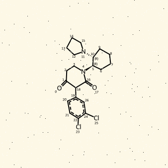 O=C1CCN([C@@H]2CCCC[C@H]2N2CCCC2)C(=O)C1c1ccc(Cl)c(Cl)c1